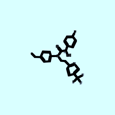 CCc1ccc(N(CCc2ccc(C(F)(F)F)cn2)C(=O)[C@H](O)c2ccc(F)cc2)cc1